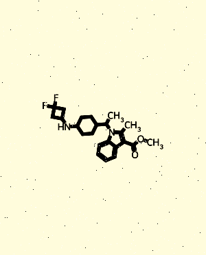 COC(=O)c1c(C)n(C(C)C2CCC(NC3CC(F)(F)C3)CC2)c2ccccc12